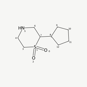 O=S1(=O)CCNCC1[C]1CCCC1